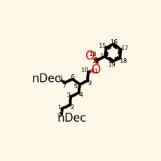 CCCCCCCCCCCCCCC(CCCCCCCCCCCC)CCOC(=O)c1ccccc1